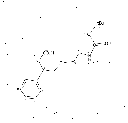 CC(C)(C)OC(=O)NCCCCC(CC(=O)O)c1ccccc1